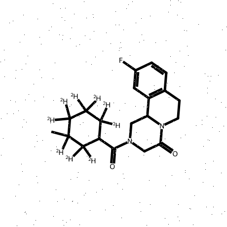 [2H]C1([2H])C(C(=O)N2CC(=O)N3CCc4ccc(F)cc4C3C2)C([2H])([2H])C([2H])(C)C([2H])([2H])C1([2H])[2H]